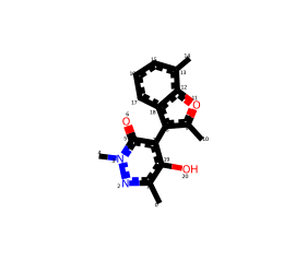 Cc1nn(C)c(=O)c(-c2c(C)oc3c(C)cccc23)c1O